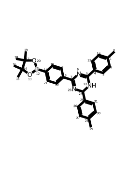 Cc1ccc(C2=NC(c3ccc(B4OC(C)(C)C(C)(C)O4)cc3)=NC(c3ccc(C)cc3)N2)cc1